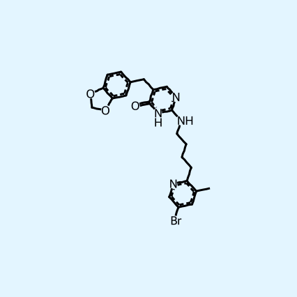 Cc1cc(Br)cnc1CCCCNc1ncc(Cc2ccc3c(c2)OCO3)c(=O)[nH]1